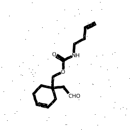 C=CCCNC(=O)OCC1(CC=O)CC=CCC1